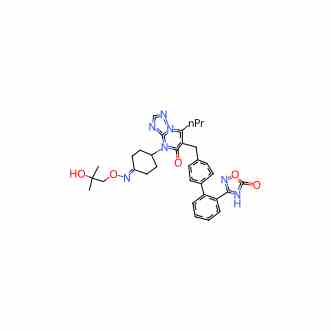 CCCc1c(Cc2ccc(-c3ccccc3-c3noc(=O)[nH]3)cc2)c(=O)n(C2CCC(=NOCC(C)(C)O)CC2)c2ncnn12